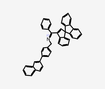 C1=C(/C(=N\Cc2ccc(-c3ccc4ccccc4c3)cc2)c2ccccc2)c2ccccc2C12c1ccccc1-c1ccccc12